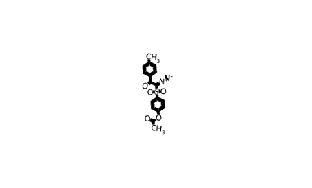 CC(=O)Oc1ccc(S(=O)(=O)C(=[N+]=[N-])C(=O)c2ccc(C)cc2)cc1